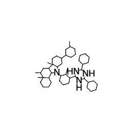 CC1CCCC(C2CCC3(C)C4CC(C)C5(C)CCCCC5C4N(C4CCCC(C5NC(C6CCCCC6)NC(C6CCCCC6)N5)C4C)C3C2)C1